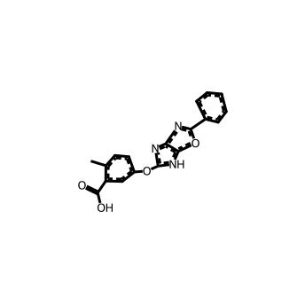 Cc1ccc(Oc2nc3nc(-c4ccccc4)oc3[nH]2)cc1C(=O)O